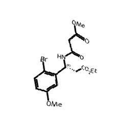 CCOC(=O)C[C@@H](NC(=O)CC(=O)OC)c1cc(OC)ccc1Br